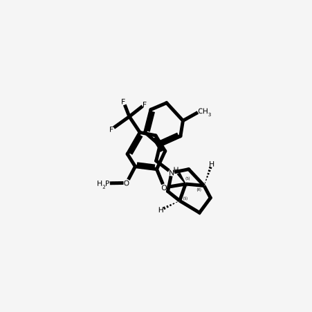 CC1C=C(CN2C[C@H]3CC[C@@H](C2)[C@@H]3Oc2ccc(C(F)(F)F)cc2OP)C=CC1